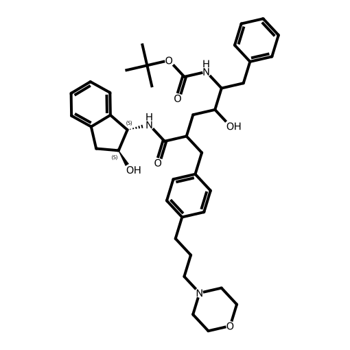 CC(C)(C)OC(=O)NC(Cc1ccccc1)C(O)CC(Cc1ccc(CCCN2CCOCC2)cc1)C(=O)N[C@H]1c2ccccc2C[C@@H]1O